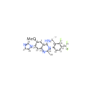 COc1cc2c(N[C@H](C)c3cccc(C(F)F)c3F)nc(C)nc2cc1-n1ccnc1